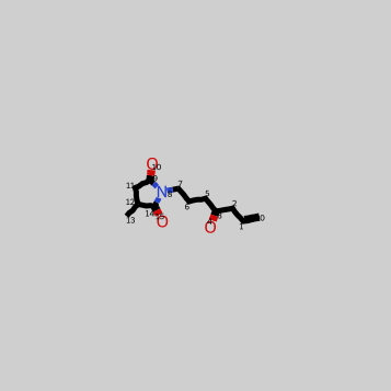 C=CCC(=O)CCCN1C(=O)CC(C)C1=O